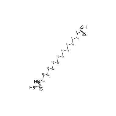 S=C(S)CCCCCCCCCCCCCCCCNC(=S)S